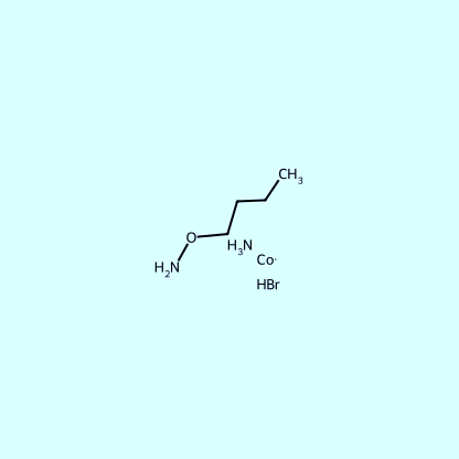 Br.CCCCON.N.[Co]